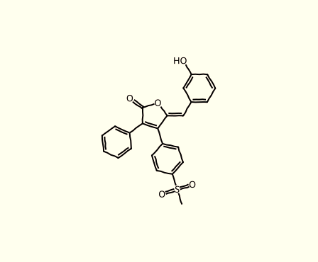 CS(=O)(=O)c1ccc(C2=C(c3ccccc3)C(=O)O/C2=C\c2cccc(O)c2)cc1